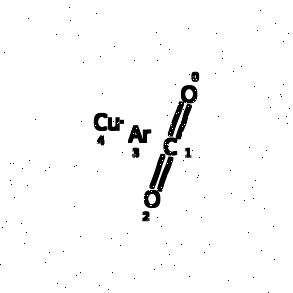 O=C=O.[Ar].[Cu]